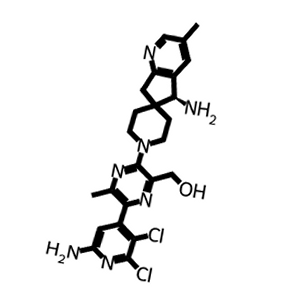 Cc1cnc2c(c1)[C@@H](N)C1(CCN(c3nc(C)c(-c4cc(N)nc(Cl)c4Cl)nc3CO)CC1)C2